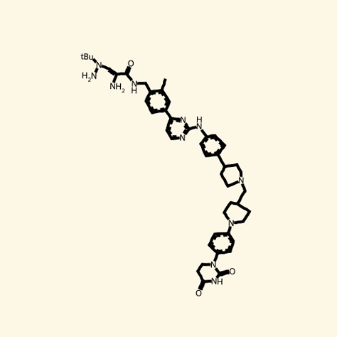 Cc1cc(-c2ccnc(Nc3ccc(C4CCN(CC5CCN(c6ccc(N7CCC(=O)NC7=O)cc6)CC5)CC4)cc3)n2)ccc1CNC(=O)/C(N)=C/N(N)C(C)(C)C